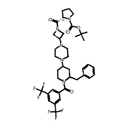 CC(C)(C)OC(=O)N1CCC[C@H]1C(=O)N1CC(N2CCN(C3CCN(C(=O)c4cc(C(F)(F)F)cc(C(F)(F)F)c4)C(Cc4ccccc4)C3)CC2)C1